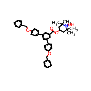 CC1(C)CC(OC(=O)c2cc(-c3ccc(OCc4ccccc4)cc3)cc(-c3ccc(OCc4ccccc4)cc3)c2)CC(C)(C)N1O